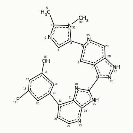 Cc1ncc(-c2cc3c(-c4nc5c(-c6cc(O)cc(F)c6)ccnc5[nH]4)n[nH]c3cn2)n1C